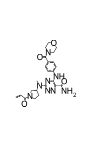 C=CC(=O)N1CC[C@@H](N(C)c2nnc(C(N)=O)c(Nc3ccc(C(=O)N4CCOCC4)cc3)n2)C1